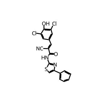 N#C/C(=C\c1cc(Cl)c(O)c(Cl)c1)C(=O)Nc1nc(-c2ccccc2)cs1